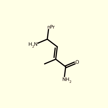 CCCC(N)/C=C(\C)C(N)=O